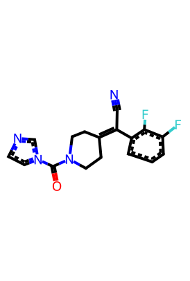 N#CC(=C1CCN(C(=O)n2ccnc2)CC1)c1cccc(F)c1F